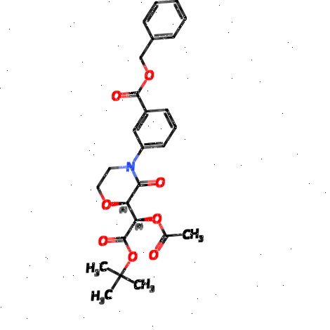 CC(=O)O[C@@H](C(=O)OC(C)(C)C)[C@H]1OCCN(c2cccc(C(=O)OCc3ccccc3)c2)C1=O